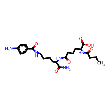 CCCC(=O)NC(CCCC(=O)NC(CCCCNC(=O)c1ccc(N)cc1)C(N)=O)C(=O)O